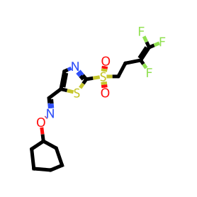 O=S(=O)(CCC(F)=C(F)F)c1ncc(C=NOC2CCCCC2)s1